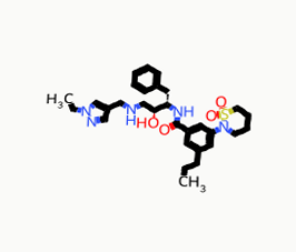 CCCc1cc(C(=O)N[C@@H](Cc2ccccc2)[C@H](O)CNCc2cnn(CC)c2)cc(N2CCCCS2(=O)=O)c1